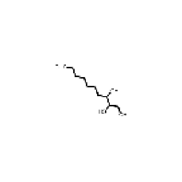 O=CCCCCCCC(O)C(O)CO